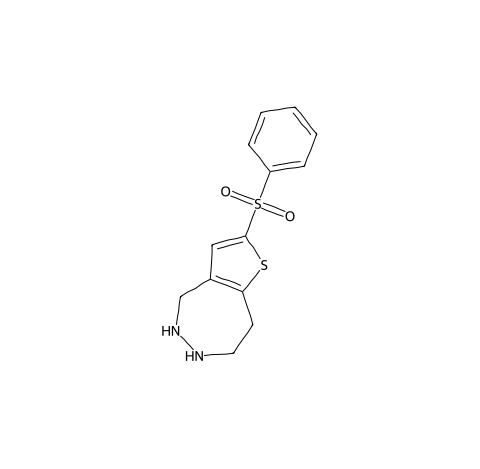 O=S(=O)(c1ccccc1)c1cc2c(s1)CCNNC2